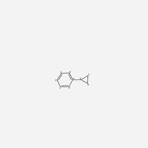 [c]1ccccc1C1[CH]C1